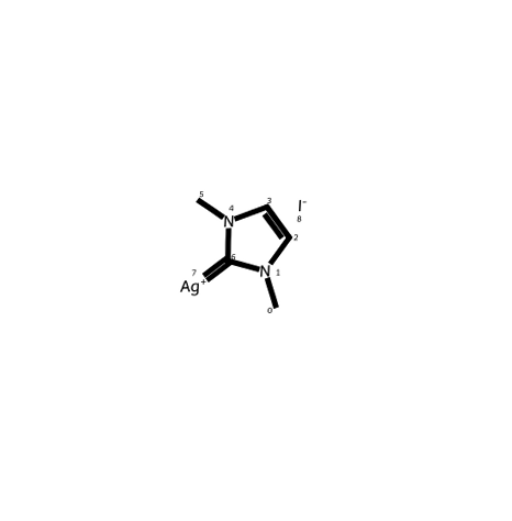 Cn1ccn(C)[c]1=[Ag+].[I-]